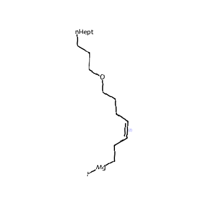 CCCCCCCCCCOCCC/C=C\C[CH2][Mg][I]